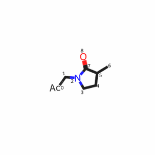 CC(=O)CN1CCC(C)C1=O